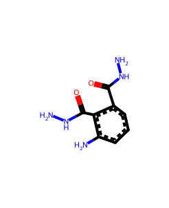 NNC(=O)c1cccc(N)c1C(=O)NN